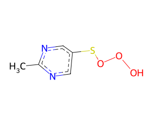 Cc1ncc(SOOO)cn1